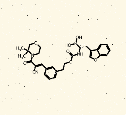 CC1(C)COCCN1C(=O)/C(C#N)=C/c1cccc(CCOC(=O)N[C@@H](Cc2coc3ccccc23)B(O)O)c1